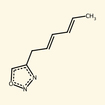 CC=CC=CCc1conn1